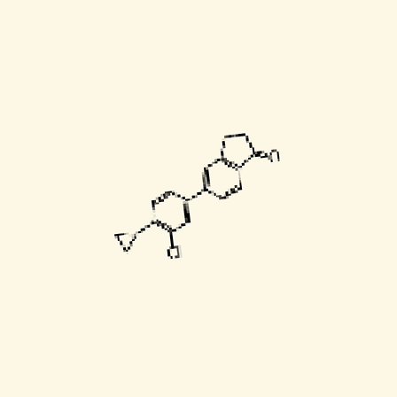 O=C1CCc2cc(-c3ccc(C4CC4)c(Cl)c3)ccc21